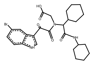 O=C(O)CN(C(=O)C(=O)c1c[nH]c2ccc(Br)cc12)C(C(=O)NC1CCCCC1)C1CCCCC1